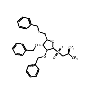 C=C(C)CS(=O)(=O)C1O[C@H](COCc2ccccc2)[C@@H](OCc2ccccc2)[C@@H]1OCc1ccccc1